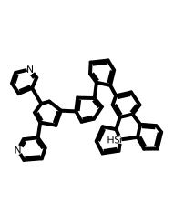 C1=CC2c3cc(-c4ccccc4-c4cccc(C5=CC(c6cccnc6)=CC(c6cccnc6)C5)c4)ccc3-c3ccccc3[SiH]2C=C1